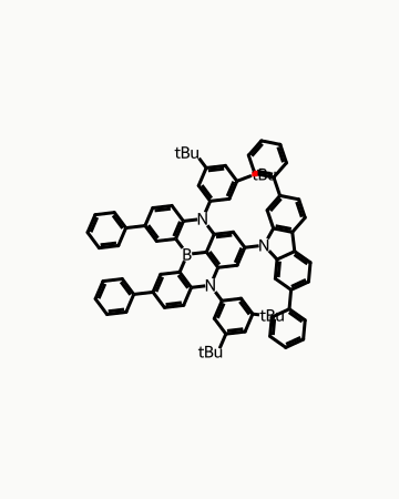 CC(C)(C)c1cc(N2c3ccc(-c4ccccc4)cc3B3c4cc(-c5ccccc5)ccc4N(c4cc(C(C)(C)C)cc(C(C)(C)C)c4)c4cc(-n5c6cc(-c7ccccc7)ccc6c6ccc(-c7ccccc7)cc65)cc2c43)cc(C(C)(C)C)c1